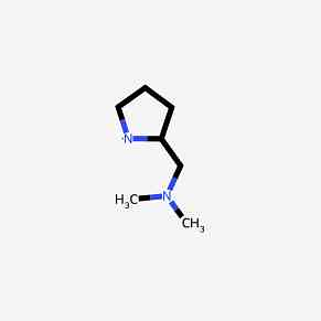 CN(C)CC1CCC[N]1